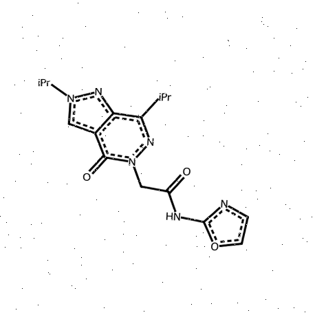 CC(C)c1nn(CC(=O)Nc2ncco2)c(=O)c2cn(C(C)C)nc12